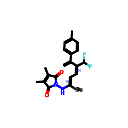 C=C(/C(=C\C=C(\NN1C(=O)C(C)=C(C)C1=O)C(C)CC)C(F)F)c1ccc(C)cc1